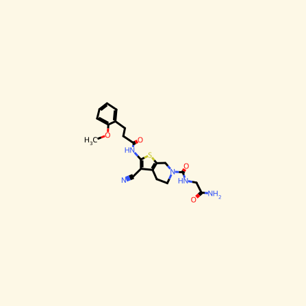 COc1ccccc1CCC(=O)Nc1sc2c(c1C#N)CCN(C(=O)NCC(N)=O)C2